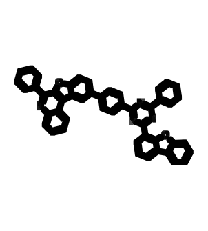 c1ccc(-c2nc(-c3ccc(-c4ccc5oc6c(-c7ccccc7)nc7ccccc7c6c5c4)cc3)nc(-c3cccc4c3oc3ccccc34)n2)cc1